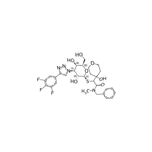 CN(Cc1ccccc1)C(=O)C(S[C@@H]1O[C@H](CO)[C@H](O)[C@H](n2cc(-c3cc(F)c(F)c(F)c3)nn2)[C@H]1O)C1(O)CCOCC1